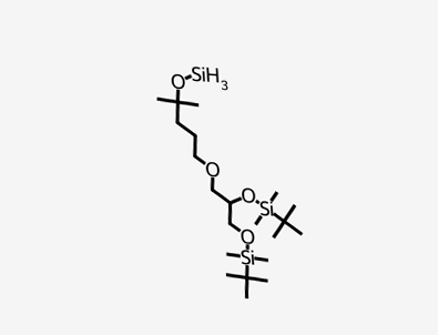 CC(C)(CCCOCC(CO[Si](C)(C)C(C)(C)C)O[Si](C)(C)C(C)(C)C)O[SiH3]